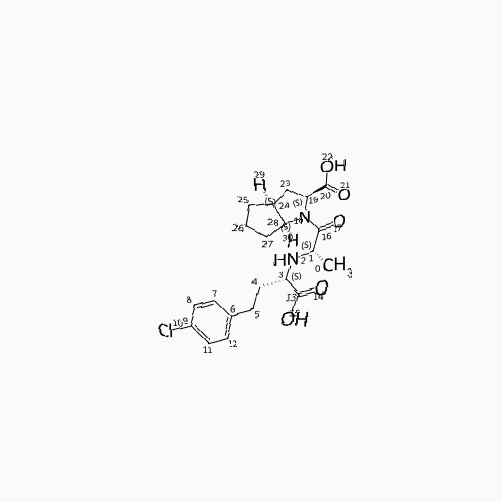 C[C@H](N[C@@H](CCc1ccc(Cl)cc1)C(=O)O)C(=O)N1[C@H](C(=O)O)C[C@@H]2CCC[C@@H]21